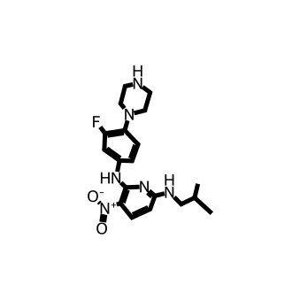 CC(C)CNc1ccc([N+](=O)[O-])c(Nc2ccc(N3CCNCC3)c(F)c2)n1